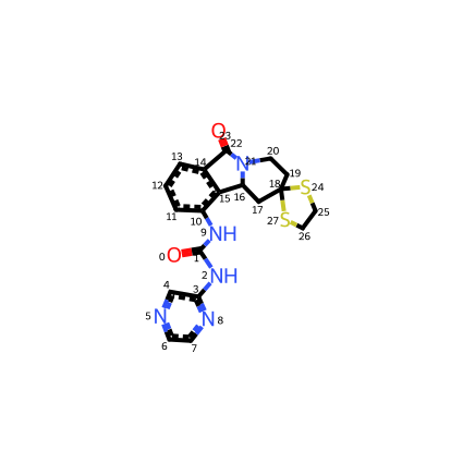 O=C(Nc1cnccn1)Nc1cccc2c1C1CC3(CCN1C2=O)SCCS3